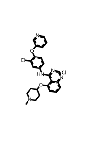 CN1CCC(Oc2cccc3ncnc(Nc4ccc(Oc5cccnc5)c(Cl)c4)c23)CC1.Cl